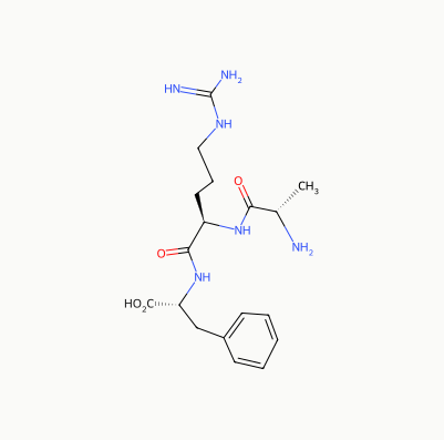 C[C@H](N)C(=O)N[C@H](CCCNC(=N)N)C(=O)N[C@H](Cc1ccccc1)C(=O)O